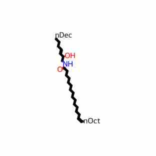 CCCCCCCC/C=C\CCCCCCCCCCCCCC(=O)NC[C@H](O)/C=C/CCCCCCCCCCCCC